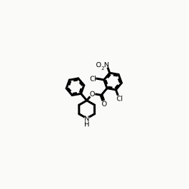 O=C(OC1(c2ccccc2)CCNCC1)c1c(Cl)ccc([N+](=O)[O-])c1Cl